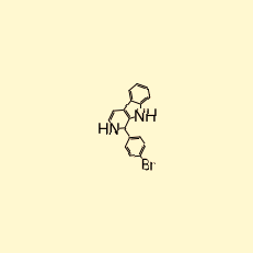 Brc1ccc(C2NC=Cc3c2[nH]c2ccccc32)cc1